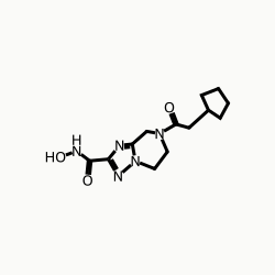 O=C(NO)c1nc2n(n1)CCN(C(=O)CC1CCCC1)C2